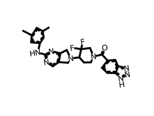 Cc1cc(C)cc(Nc2ncc3c(n2)CN(C2CCN(C(=O)c4ccc5[nH]nnc5c4)CC2(F)F)C3)c1